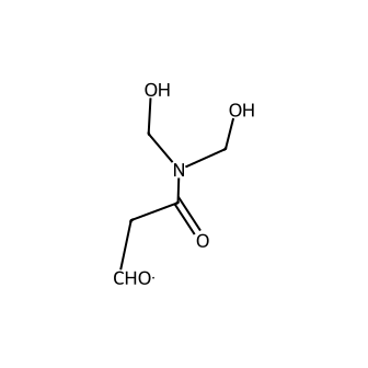 O=[C]CC(=O)N(CO)CO